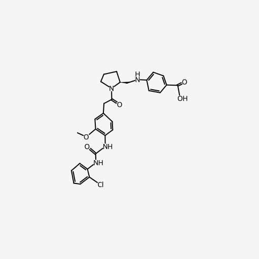 COc1cc(CC(=O)N2CCC[C@H]2CNc2ccc(C(=O)O)cc2)ccc1NC(=O)Nc1ccccc1Cl